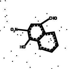 O=Cc1cc([N+](=O)[O-])c(O)c2ncccc12